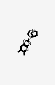 Cc1cc2oc(N3CC[N@@]4CCC3C4)nc2nc1C